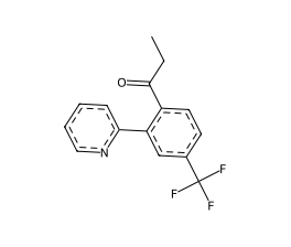 CCC(=O)c1ccc(C(F)(F)F)cc1-c1ccccn1